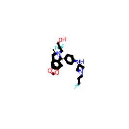 C[C@@H]1Cc2cc3c(cc2[C@@H](C2C=CC(NC4CN(CCCF)C4)=CC2)N1CC(F)(F)CO)OCO3